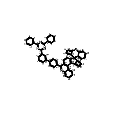 c1ccc(-c2nc(-c3ccccc3)nc(-c3cccc(-c4ccc(-c5nc6ccccc6c6c7c(ccc56)C5(c6ccccc6Sc6ccccc65)c5ccccc5-7)cc4)c3)n2)cc1